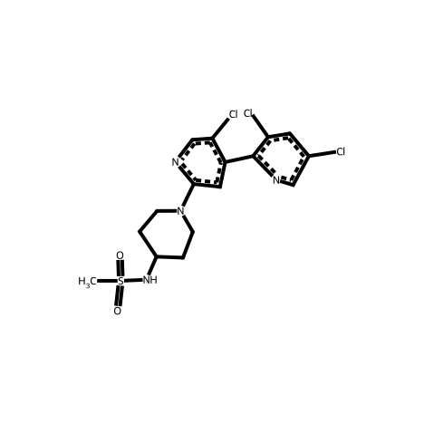 CS(=O)(=O)NC1CCN(c2cc(-c3ncc(Cl)cc3Cl)c(Cl)cn2)CC1